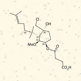 CO[C@H]1[C@H](C(C)(C)[C@H](C)CC=C(C)C)[C@@](O)(CCl)CC[C@H]1OC(=O)CCC(=O)O